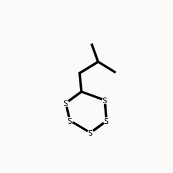 CC(C)CC1SSSSS1